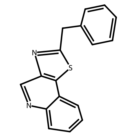 c1ccc(Cc2nc3cnc4ccccc4c3s2)cc1